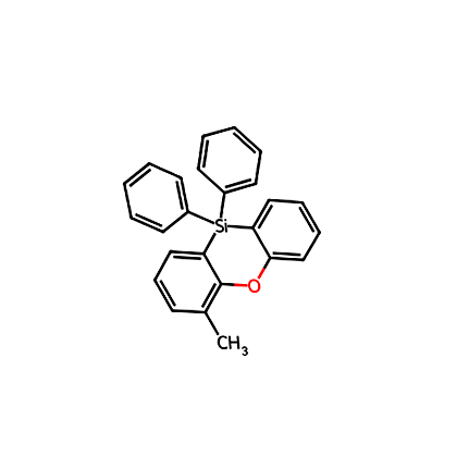 Cc1cccc2c1Oc1ccccc1[Si]2(c1ccccc1)c1ccccc1